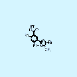 CC(C)OC(=O)c1cc(-c2nc(Br)c(C(F)(F)F)[nH]2)c(F)cc1Br